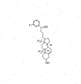 CC12CCC(O)CC1=CCC1[C@@H]2CCC2(C)C(CCCC(O)c3cccc(F)c3)CC[C@@H]12